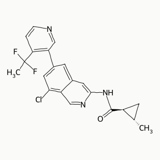 C[C@H]1C[C@@H]1C(=O)Nc1cc2cc(-c3cnccc3C(C)(F)F)cc(Cl)c2cn1